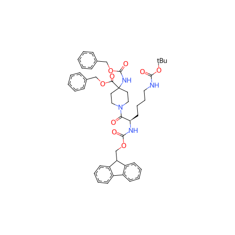 CC(C)(C)OC(=O)NCCCC[C@@H](NC(=O)OCC1c2ccccc2-c2ccccc21)C(=O)N1CCC(NC(=O)OCc2ccccc2)(C(=O)OCc2ccccc2)CC1